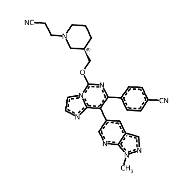 Cn1ncc2cc(-c3c(-c4ccc(C#N)cc4)nc(OC[C@@H]4CCCN(CCC#N)C4)n4ccnc34)cnc21